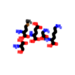 CSCCC(N)C(=O)O.NC(CCC(=O)O)C(=O)O.NC(CO)C(=O)O.NCC(=O)O.NCCCCC(N)C(=O)O